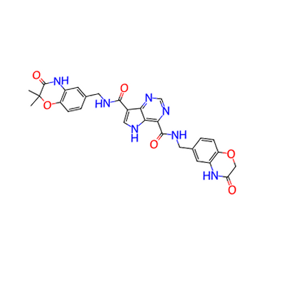 CC1(C)Oc2ccc(CNC(=O)c3c[nH]c4c(C(=O)NCc5ccc6c(c5)NC(=O)CO6)ncnc34)cc2NC1=O